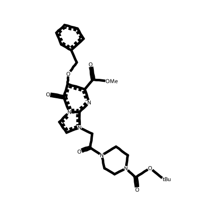 COC(=O)c1nc2n(CC(=O)N3CCN(C(=O)OC(C)(C)C)CC3)ccn2c(=O)c1OCc1ccccc1